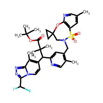 Cc1cnc2c(c1)S(=O)(=O)N(Cc1cc(C(c3ccn4c(C(F)F)nnc4c3C)C(C)(C)C(=O)OC(C)(C)C)ncc1C)CC1(CC1)O2